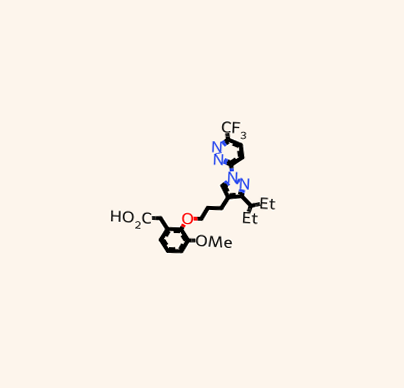 CCC(CC)c1nn(-c2ccc(C(F)(F)F)nn2)cc1CCCOc1c(CC(=O)O)cccc1OC